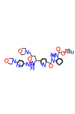 CC(C)(C)OC(=O)Nc1ccccc1NC(=O)c1ccc(C(CCCN2CCOCC2)NC(=O)Nc2ccc(N3CCOCC3)nc2)cn1